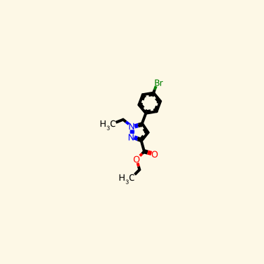 CCOC(=O)c1cc(-c2ccc(Br)cc2)n(CC)n1